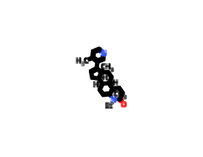 CCN1C(=O)CCC2(C)C1=CC[C@H]1[C@H]3CC=C(c4cnccc4C)C3(C)CC[C@@H]12